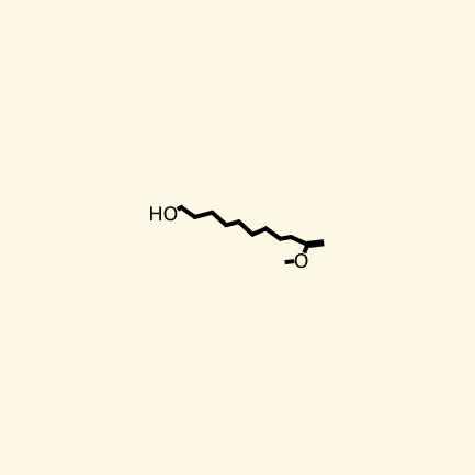 C=C(CCCCCCCCCO)OC